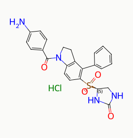 Cl.Nc1ccc(C(=O)N2CCc3c2ccc(S(=O)(=O)[C@H]2CNC(=O)N2)c3-c2ccccc2)cc1